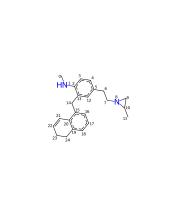 CNc1ccc(CCN2CC2C)cc1Cc1cccc2c1C=CCC2